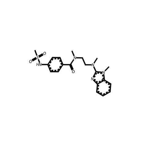 CN(CCN(C)c1nc2ccccc2n1C)C(=O)c1ccc(NS(C)(=O)=O)cc1